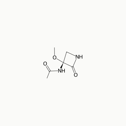 CO[C@]1(NC(C)=O)CNC1=O